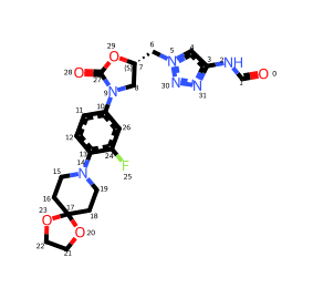 O=CNc1cn(C[C@@H]2CN(c3ccc(N4CCC5(CC4)OCCO5)c(F)c3)C(=O)O2)nn1